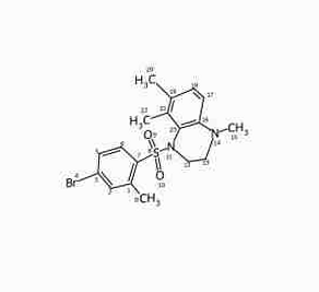 Cc1cc(Br)ccc1S(=O)(=O)N1CCN(C)c2ccc(C)c(C)c21